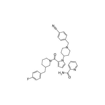 N#Cc1ccc(CN2CCC(n3cccc3C(=O)N3CCCC(Cc4ccc(F)cc4)C3)CC2)cc1.NC(=O)c1ccccn1